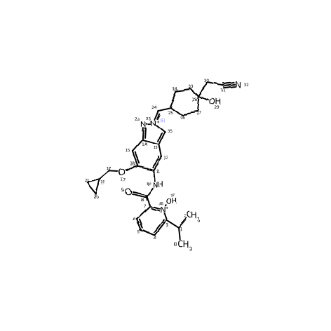 CC(C)c1cccc(C(=O)Nc2cc3c(cc2OCC2CC2)=N/[N+](=C/C2CCC(O)(CC#N)CC2)C=3)[n+]1O